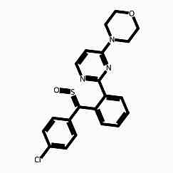 O=S=C(c1ccc(Cl)cc1)c1ccccc1-c1nccc(N2CCOCC2)n1